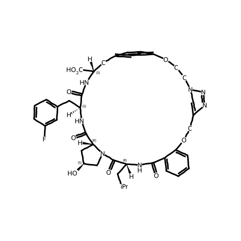 CC(C)C[C@H]1NC(=O)c2ccccc2OCc2cn(nn2)CCOc2ccc(cc2)C[C@@H](C(=O)O)NC(=O)[C@H](Cc2cccc(F)c2)NC(=O)[C@H]2C[C@H](O)CN2C1=O